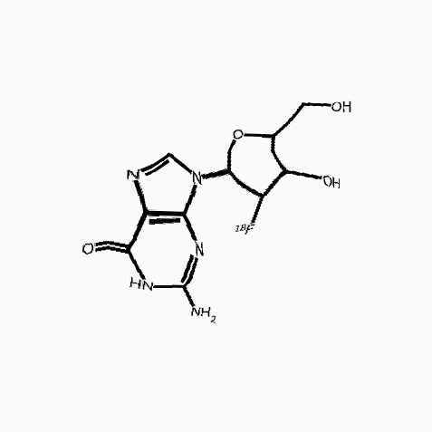 Nc1nc2c(ncn2C2OC(CO)C(O)C2[18F])c(=O)[nH]1